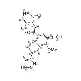 COc1ccc(C(=O)Nc2c(Cl)cncc2Cl)c2ccc(-c3nn[nH]n3)nc12.Cl.Cl